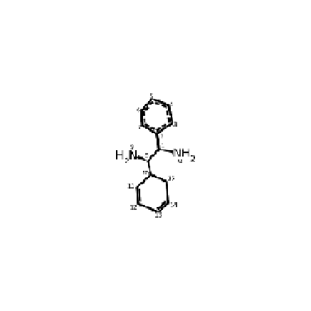 N[C@H](c1ccccc1)[C@H](N)C1C=CC=CC1